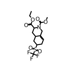 CCOC(=O)C1CC2CC(S(=O)(=O)C(F)(F)F)CC=C2CN1C(=O)OC